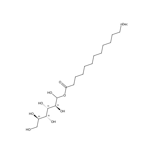 CCCCCCCCCCCCCCCCCCCCCC(=O)OC(O)[C@@H](O)[C@@H](O)[C@H](O)[C@H](O)CO